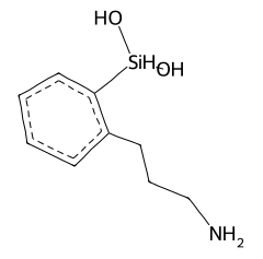 NCCCc1ccccc1[SiH](O)O